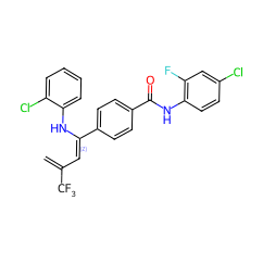 C=C(/C=C(\Nc1ccccc1Cl)c1ccc(C(=O)Nc2ccc(Cl)cc2F)cc1)C(F)(F)F